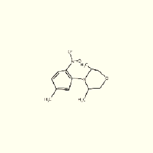 Cc1ccc([N+](=O)[O-])c(N2C(C)COCC2C)c1